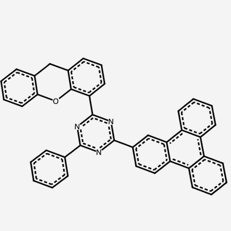 c1ccc(-c2nc(-c3ccc4c5ccccc5c5ccccc5c4c3)nc(-c3cccc4c3Oc3ccccc3C4)n2)cc1